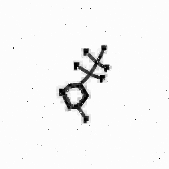 Fc1[c]ncc(C(F)(F)C(F)(F)F)c1